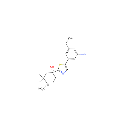 CC(=O)OCc1cc(N)cc(-c2cnc([C@@]3(O)CC[C@H](C(=O)O)C(C)(C)C3)s2)c1